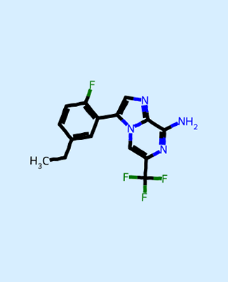 CCc1ccc(F)c(-c2cnc3c(N)nc(C(F)(F)F)cn23)c1